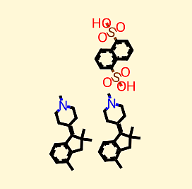 Cc1cccc2c1CC(C)(C)C2=C1CCN(C)CC1.Cc1cccc2c1CC(C)(C)C2=C1CCN(C)CC1.O=S(=O)(O)c1cccc2c(S(=O)(=O)O)cccc12